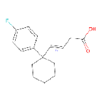 O=C(O)C/C=C/C1(c2ccc(F)cc2)CCCCC1